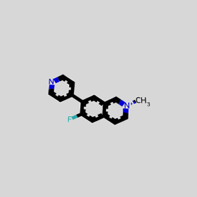 C[n+]1ccc2cc(F)c(-c3ccncc3)cc2c1